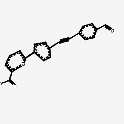 COC(=O)c1cccc(-c2ccc(C#Cc3ccc(C=O)cc3)cc2)n1